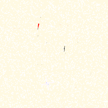 CCC(=O)OC(CC(=O)[O-])C[N+](C)(C)C.O=C[C@H](OP(=O)(O)O)[C@@H](O)[C@H](O)[C@H](O)CO